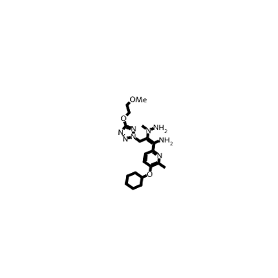 COCCOc1nnn(C/C(=C(/N)c2ccc(OC3CCCCC3)c(C)n2)N(C)N)n1